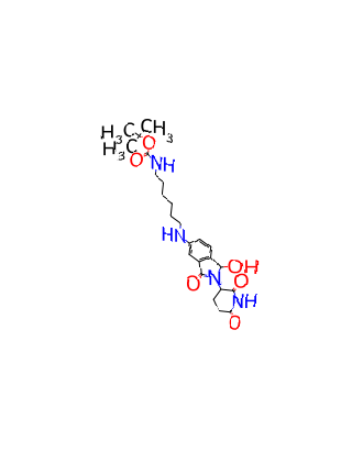 CC(C)(C)OC(=O)NCCCCCCNc1ccc2c(c1)C(=O)N(C1CCC(=O)NC1=O)C2O